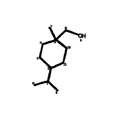 CC(C)C1CCC(C)(CO)CC1